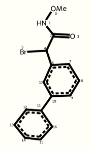 CONC(=O)C(Br)c1cccc(-c2ccccc2)c1